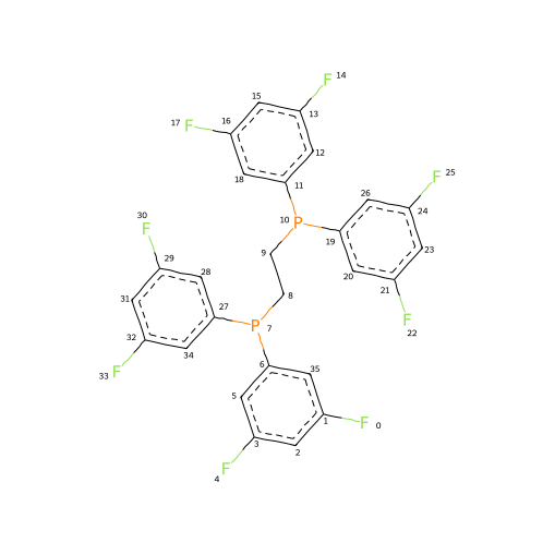 Fc1cc(F)cc(P(CCP(c2cc(F)cc(F)c2)c2cc(F)cc(F)c2)c2cc(F)cc(F)c2)c1